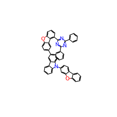 c1ccc(-c2nc(-c3ccccc3)nc(-c3cccc4oc5ccc(-c6ccc7c(c6)c6ccccc6n7-c6ccc7c(c6)oc6ccccc67)cc5c34)n2)cc1